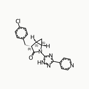 O=C1[C@H](Cc2ccc(Cl)cc2)[C@@H]2C[C@@H]2N1c1nc(-c2ccncc2)n[nH]1